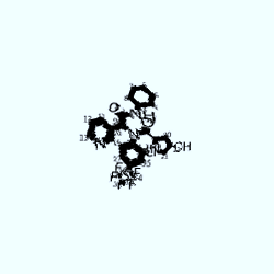 O=C(NC1CCCCC1)C(c1cccnc1)N(C(=O)[C@H]1C[C@@H](O)CN1)c1ccc(S(F)(F)(F)(F)F)cc1Cl